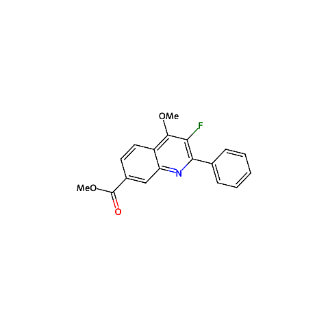 COC(=O)c1ccc2c(OC)c(F)c(-c3ccccc3)nc2c1